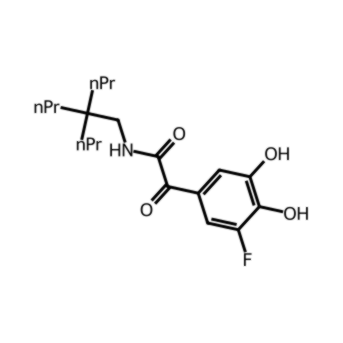 CCCC(CCC)(CCC)CNC(=O)C(=O)c1cc(O)c(O)c(F)c1